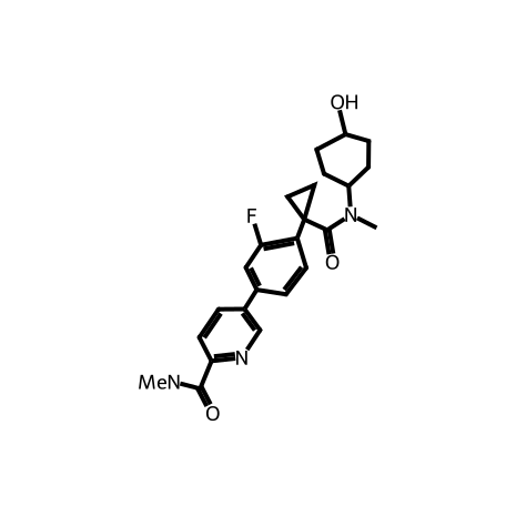 CNC(=O)c1ccc(-c2ccc(C3(C(=O)N(C)C4CCC(O)CC4)CC3)c(F)c2)cn1